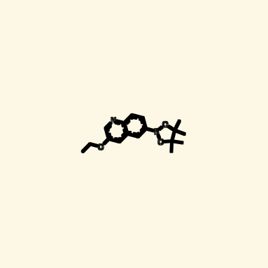 CCOc1cnc2ccc(B3OC(C)(C)C(C)(C)O3)cc2c1